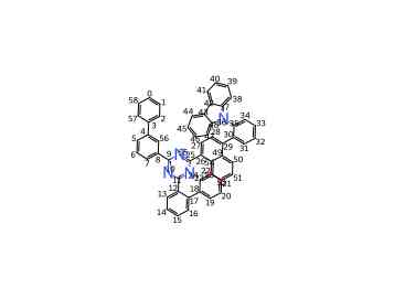 c1ccc(-c2cccc(-c3nc(-c4ccccc4-c4ccccc4)nc(-c4ccc(-c5ccccc5-n5c6ccccc6c6ccccc65)c5ccccc45)n3)c2)cc1